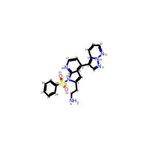 NCCc1cc2c(-c3cnn4ncccc34)ccnc2n1S(=O)(=O)c1ccccc1